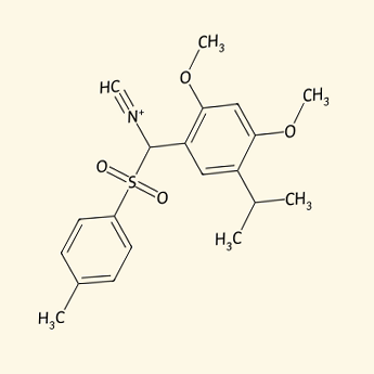 C#[N+]C(c1cc(C(C)C)c(OC)cc1OC)S(=O)(=O)c1ccc(C)cc1